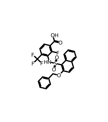 O=C(O)c1ccc(C(F)(F)F)c(NS(=O)(=O)c2c(OCc3ccccc3)ccc3ccccc23)c1F